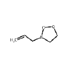 C=CCN1CCOO1